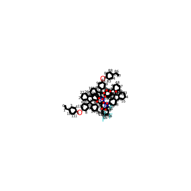 C=Cc1ccc(Oc2ccc(C3(c4ccc(C(C)(C)C)cc4)c4ccccc4-c4ccc(N(c5ccc(F)c(F)c5)c5ccc6c(c5)C5(c7ccccc7-6)c6ccccc6-c6ccc(N(c7ccc(F)c(F)c7)c7ccc8c(c7)C(c7ccc(Oc9ccc(C=C)cc9)cc7)(c7ccc(C(C)(C)C)cc7)c7ccccc7-8)cc65)cc43)cc2)cc1